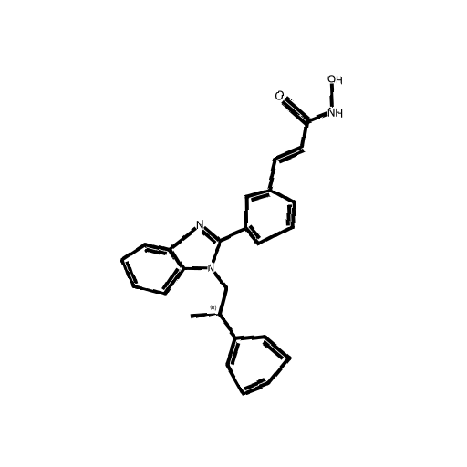 C[C@@H](Cn1c(-c2cccc(C=CC(=O)NO)c2)nc2ccccc21)c1ccccc1